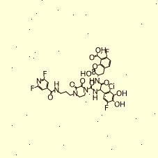 O=C(NCCCN1CCN(C(=O)NC(C(=O)N[C@H]2Cc3ccc(F)c(C(=O)O)c3OB2O)c2cc(F)c(O)c(O)c2Cl)C(=O)C1=O)c1cc(F)nc(F)c1